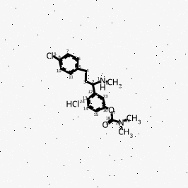 CNC(CCc1ccc(Cl)cc1)c1cccc(OC(=O)N(C)C)c1.Cl